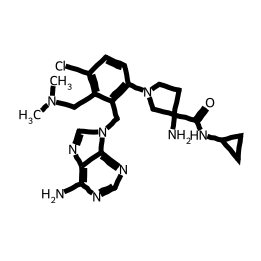 CN(C)Cc1c(Cl)ccc(N2CCC(N)(C(=O)NC3CC3)C2)c1Cn1cnc2c(N)ncnc21